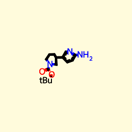 CC(C)(C)OC(=O)N1CCCC(c2ccc(N)nc2)C1